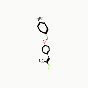 CCC[C@H]1CC[C@H](CO[C@H]2CC[C@H](/C=C(/F)C#N)CC2)CC1